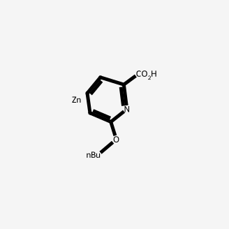 CCCCOc1cccc(C(=O)O)n1.[Zn]